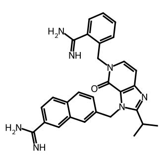 CC(C)c1nc2ccn(Cc3ccccc3C(=N)N)c(=O)c2n1Cc1ccc2ccc(C(=N)N)cc2c1